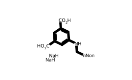 CCCCCCCCCCNc1cc(C(=O)O)cc(C(=O)O)c1.[NaH].[NaH]